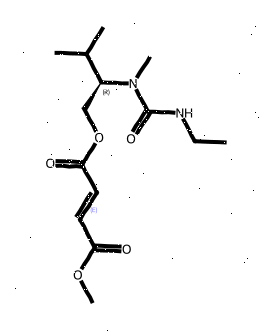 CCNC(=O)N(C)[C@@H](COC(=O)/C=C/C(=O)OC)C(C)C